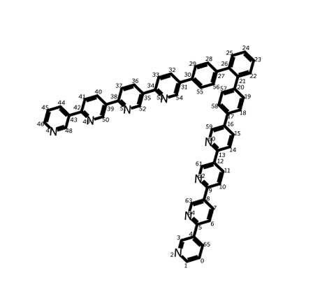 c1cncc(-c2ccc(-c3ccc(-c4ccc(-c5ccc(-c6ccccc6-c6ccc(-c7ccc(-c8ccc(-c9ccc(-c%10cccnc%10)nc9)nc8)nc7)cc6)cc5)cn4)cn3)cn2)c1